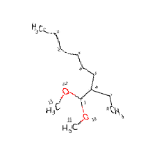 CCCCCCC(CC)C(OC)OC